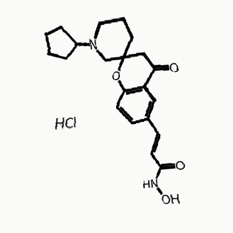 Cl.O=C(/C=C/c1ccc2c(c1)C(=O)CC1(CCCN(C3CCCC3)C1)O2)NO